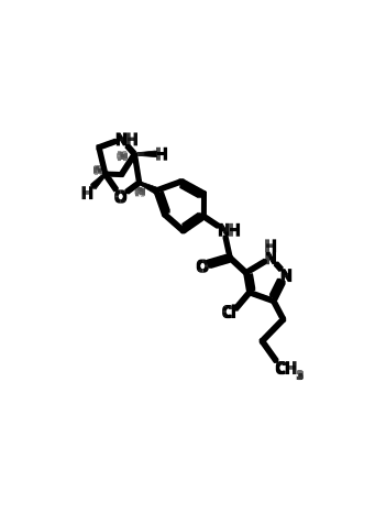 CCCc1n[nH]c(C(=O)Nc2ccc([C@H]3O[C@@H]4CN[C@H]3C4)cc2)c1Cl